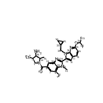 CCC1CN(C(=O)c2cc(F)c3c(c2)nc(-c2cc4ccc(OC(F)F)nc4n2CC2CC2)n3C)C(C)C1N